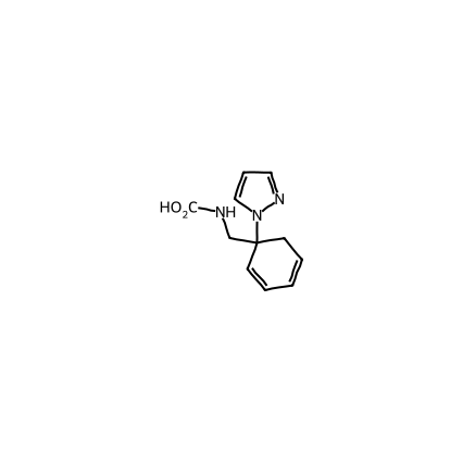 O=C(O)NCC1(n2cccn2)C=CC=CC1